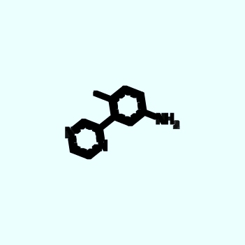 Cc1ccc(N)cc1-c1cnccn1